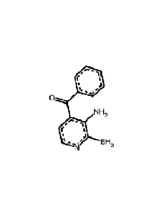 Bc1nccc(C(=O)c2ccccc2)c1N